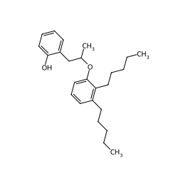 CCCCCc1cccc(OC(C)Cc2ccccc2O)c1CCCCC